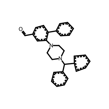 O=Cc1ccc(-c2ccccc2)c(N2CCN(C(c3ccccc3)c3ccccc3)CC2)c1